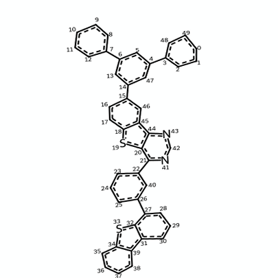 c1ccc(-c2cc(-c3ccccc3)cc(-c3ccc4sc5c(-c6cccc(-c7cccc8c7sc7ccccc78)c6)ncnc5c4c3)c2)cc1